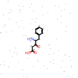 NC(Cc1ccccc1)C(=O)CC(=O)O